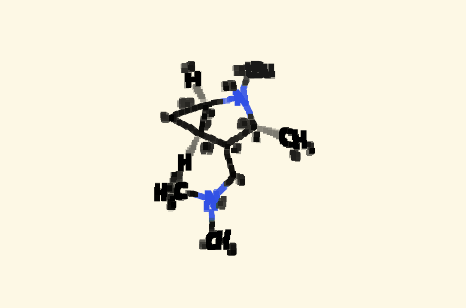 C[C@@H]1C(CN(C)C)[C@H]2C[C@H]2N1C(C)(C)C